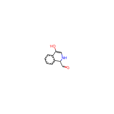 O=CC1NC=C(O)c2ccccc21